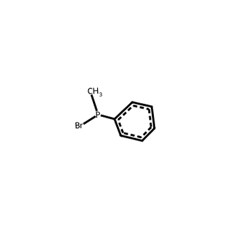 CP(Br)c1ccccc1